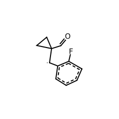 O=CC1([CH]c2ccccc2F)CC1